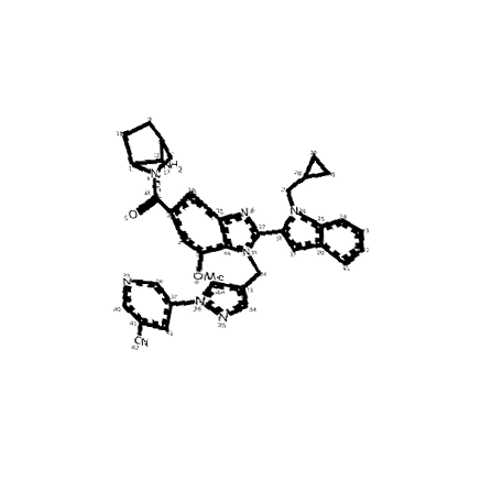 COc1cc(C(=O)N2CC3CCC2[C@@H]3N)cc2nc(-c3cc4ccccc4n3CC3CC3)n(Cc3cnn(-c4cncc(C#N)c4)c3)c12